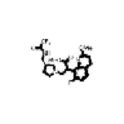 COC(=O)C(CN1CC[C@@H](CNC(=O)C(F)(F)F)C1)c1c(F)ccc2ccc(OC)nc12